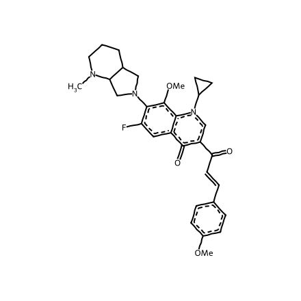 COc1ccc(C=CC(=O)c2cn(C3CC3)c3c(OC)c(N4CC5CCCN(C)C5C4)c(F)cc3c2=O)cc1